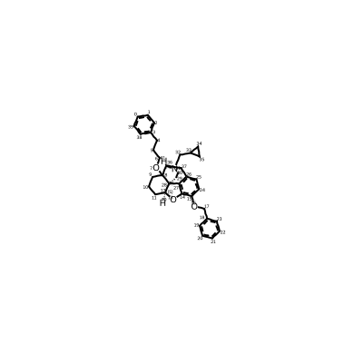 c1ccc(CCCOC23CCC[C@@H]4Oc5c(OCc6ccccc6)ccc6c5[C@@]42CCN(CC2CC2)[C@@H]3C6)cc1